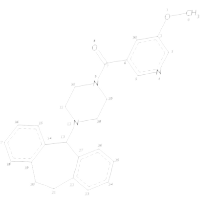 COc1cncc(C(=O)N2CCN(C3c4ccccc4CCc4ccccc43)CC2)c1